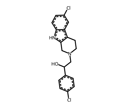 OC(CN1CCc2c([nH]c3ccc(Cl)cc23)C1)c1ccc(Cl)cc1